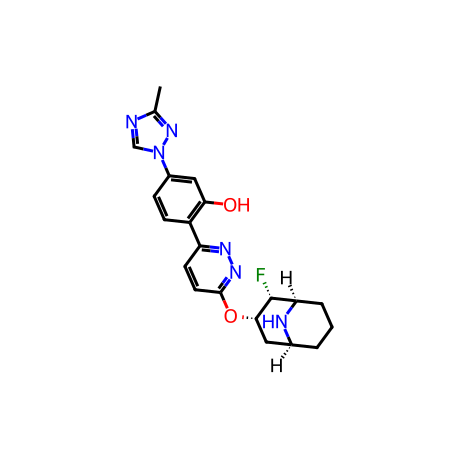 Cc1ncn(-c2ccc(-c3ccc(O[C@H]4C[C@@H]5CCC[C@@H](N5)[C@H]4F)nn3)c(O)c2)n1